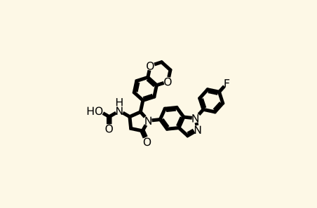 O=C(O)NC1CC(=O)N(c2ccc3c(cnn3-c3ccc(F)cc3)c2)C1c1ccc2c(c1)OCCO2